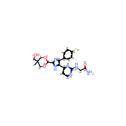 CC1(CO)COC(c2nc(-c3ccc(F)cc3)c(-c3ccnc(NCC(N)=O)n3)[nH]2)OC1